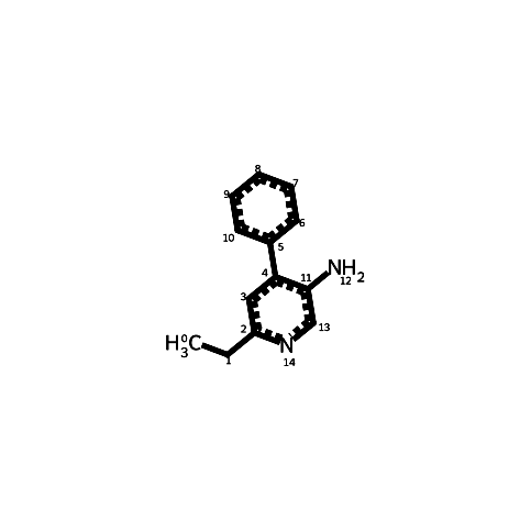 CCc1cc(-c2ccccc2)c(N)cn1